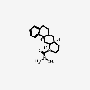 CN(C)C(=O)N1CCC[C@@H]2CN3CCc4ccccc4[C@@H]3C[C@@H]21